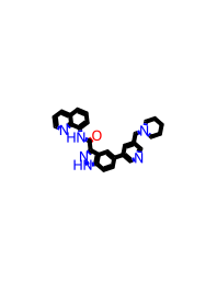 O=C(Nc1cccc2cccnc12)c1n[nH]c2ccc(-c3cncc(CN4CCCCC4)c3)cc12